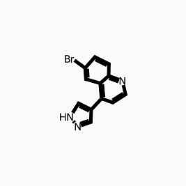 Brc1ccc2nccc(-c3cn[nH]c3)c2c1